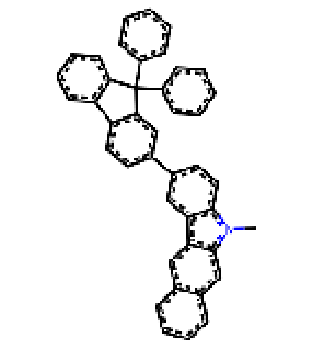 Cn1c2ccc(-c3ccc4c(c3)C(c3ccccc3)(c3ccccc3)c3ccccc3-4)cc2c2cc3ccccc3cc21